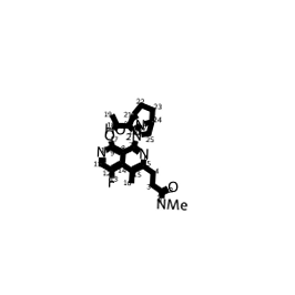 CNC(=O)CCc1nc2c3c(ncc(F)c3c1C)OC(C)C1C3CCC(CN21)N3C(=O)O